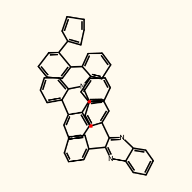 c1ccc(-c2ccccc2-c2ccccc2N(c2ccc(-c3nc4ccccc4nc3-c3ccccc3)cc2)c2ccccc2-c2ccccc2-c2ccccc2)cc1